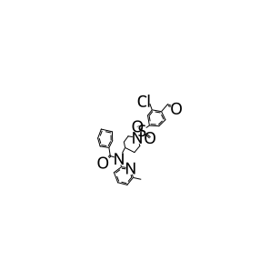 Cc1cccc(N(C(=O)c2ccccc2)C2CCN(S(=O)(=O)c3ccc(C=O)c(Cl)c3)CC2)n1